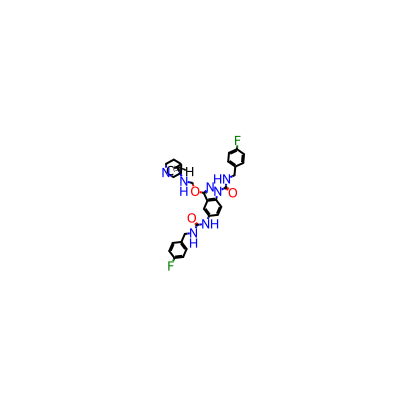 O=C(NCc1ccc(F)cc1)Nc1ccc2c(c1)c(OCN[C@@H]1CN3CCC1CC3)nn2C(=O)NCc1ccc(F)cc1